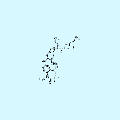 C=C/C=C(/NC1CC(CI)(CCN)C1)[C@@H]1CC2C=C(Nc3ncc4c(n3)N(C(C)C)CC(F)(F)C(=O)N4C)C(OC)=CC21